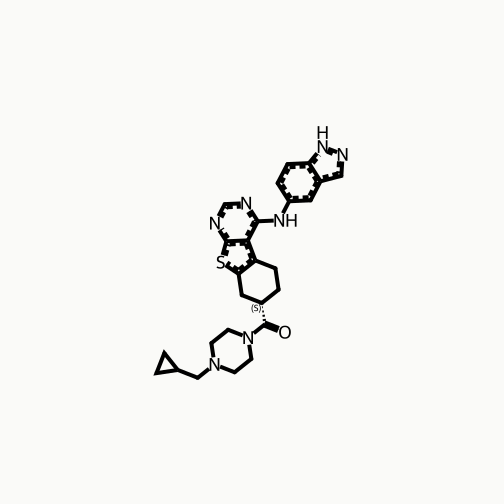 O=C([C@H]1CCc2c(sc3ncnc(Nc4ccc5[nH]ncc5c4)c23)C1)N1CCN(CC2CC2)CC1